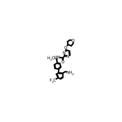 C[C@@H](NC(=O)c1nccc(OC2CCOCC2)n1)c1ccc(-c2cc(C(F)(F)F)ccc2CN)cc1